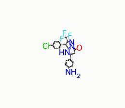 Nc1ccc(-c2cc(=O)n3nc(C(F)(F)F)c(-c4ccc(Cl)cc4)c3[nH]2)cc1